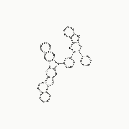 c1ccc(-c2nc3oc4ccccc4c3nc2-c2cccc(-n3c4cc5ccccc5cc4c4cc5c(cc43)sc3c4ccccc4ccc53)c2)cc1